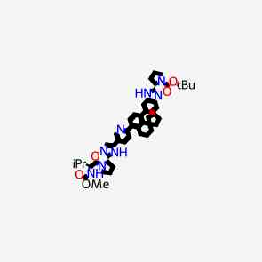 COC(=O)N[C@H](C(=O)N1CCC[C@H]1c1ncc(-c2ccc(-c3ccc(-c4ccc5nc([C@@H]6CCCN6C(=O)OC(C)(C)C)[nH]c5c4)c4c3CCCC43CCCC3)nc2)[nH]1)C(C)C